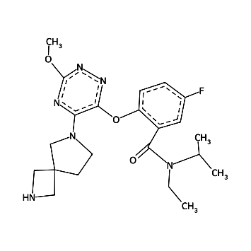 CCN(C(=O)c1cc(F)ccc1Oc1nnc(OC)nc1N1CCC2(CNC2)C1)C(C)C